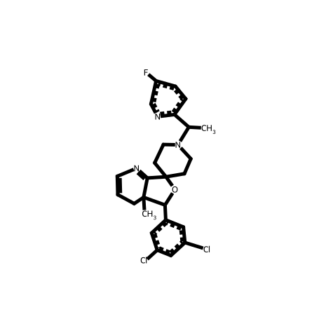 CC(c1ccc(F)cn1)N1CCC2(CC1)OC(c1cc(Cl)cc(Cl)c1)C1(C)CC=CN=C21